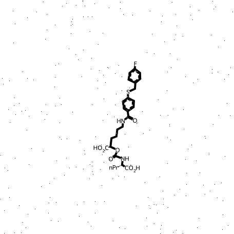 CCC[C@H](NC(=O)O[C@@H](CCCCNC(=O)c1ccc(SCc2ccc(F)cc2)cc1)C(=O)O)C(=O)O